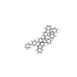 c1ccc(-c2ccc(-c3ccc(N(c4ccc5c(c4)C(c4ccccc4)(c4ccccc4)c4ccccc4-5)c4ccccc4-c4ccc5oc6ccccc6c5c4)cc3)cc2)cc1